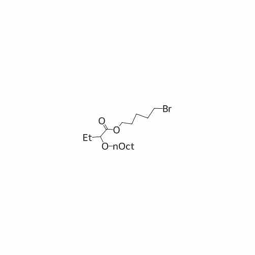 CCCCCCCCOC(CC)C(=O)OCCCCCBr